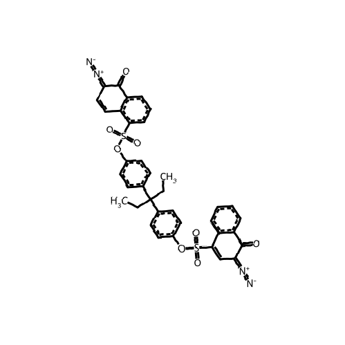 CCC(CC)(c1ccc(OS(=O)(=O)C2=CC(=[N+]=[N-])C(=O)c3ccccc32)cc1)c1ccc(OS(=O)(=O)c2cccc3c2C=CC(=[N+]=[N-])C3=O)cc1